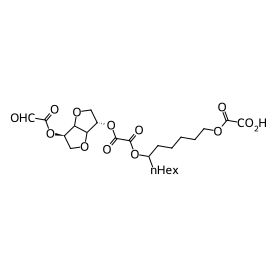 CCCCCCC(CCCCCOC(=O)C(=O)O)OC(=O)C(=O)O[C@H]1COC2C1OC[C@H]2OC(=O)C=O